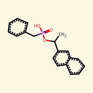 [CH2]C(OP(=O)(O)Cc1ccccc1)c1ccc2ccccc2c1